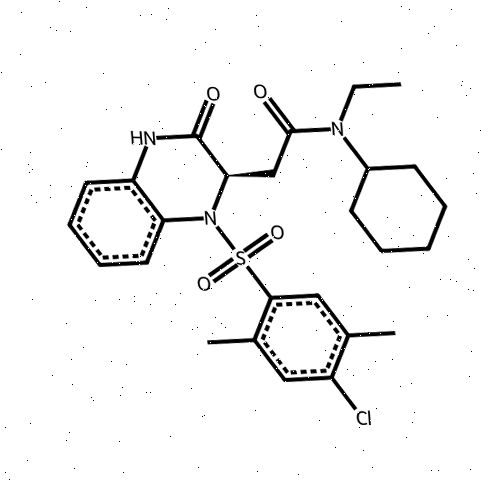 CCN(C(=O)C[C@@H]1C(=O)Nc2ccccc2N1S(=O)(=O)c1cc(C)c(Cl)cc1C)C1CCCCC1